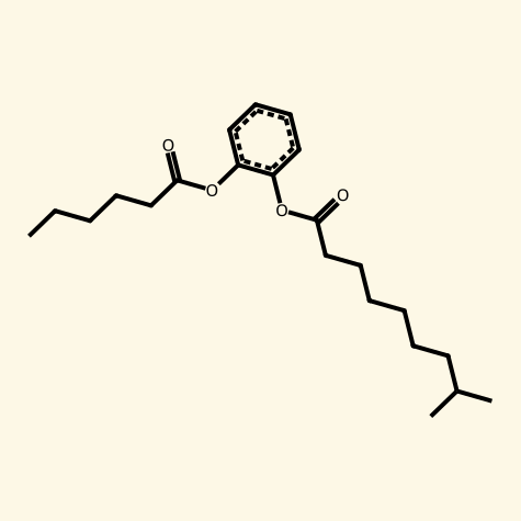 CCCCCC(=O)Oc1ccccc1OC(=O)CCCCCCC(C)C